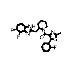 Cc1nc(C(=O)N2CCCCC2Cc2nc3c(F)c(F)ccc3[nH]2)c(-c2ccccc2F)s1